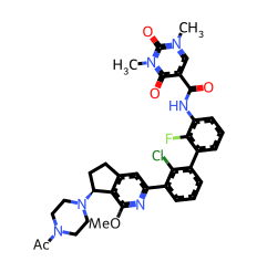 COc1nc(-c2cccc(-c3cccc(NC(=O)c4cn(C)c(=O)n(C)c4=O)c3F)c2Cl)cc2c1[C@@H](N1CCN(C(C)=O)CC1)CC2